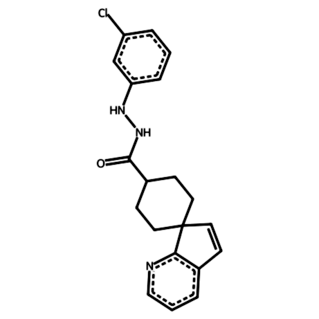 O=C(NNc1cccc(Cl)c1)C1CCC2(C=Cc3cccnc32)CC1